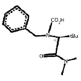 CN(C)C(=O)[C@@H](N(Cc1ccccc1)C(=O)O)C(C)(C)C